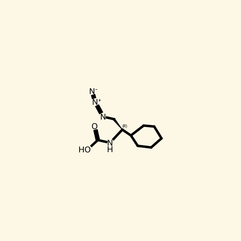 [N-]=[N+]=NC[C@H](NC(=O)O)C1CCCCC1